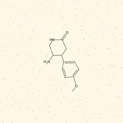 COc1ccc(C2CC(=O)NCC2N)cc1